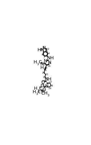 CNc1nc(Nc2ccc3[nH]ncc3c2)ncc1C#CCCCNC(=O)[C@@H]1CCCN1C(=O)OC(C)(C)C